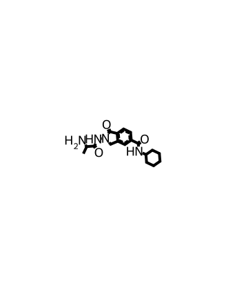 CC(N)C(=O)NN1Cc2cc(C(=O)NC3CCCCC3)ccc2C1=O